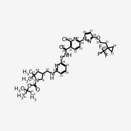 CC(C)(C)OC(=O)N1CC(CNc2cccc(SNC(=O)c3ccc(-n4ccc(OCCC5(C(F)(F)F)CC5)n4)nc3Cl)n2)CC1(C)C